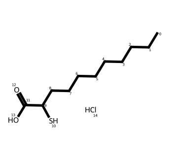 CCCCCCCCCC(S)C(=O)O.Cl